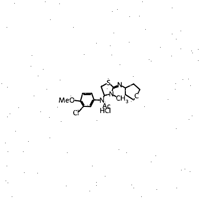 COc1ccc(N(C(C)=O)C2CSC(=NC3CCCCC3)N2C)cc1Cl.Cl